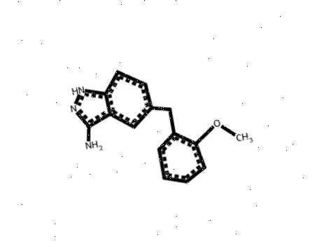 COc1ccccc1Cc1ccc2[nH]nc(N)c2c1